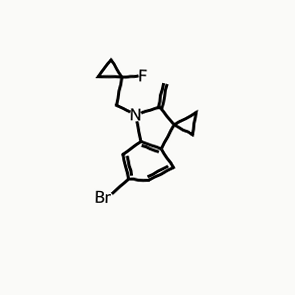 C=C1N(CC2(F)CC2)c2cc(Br)ccc2C12CC2